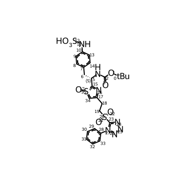 CC(C)(C)OC(=O)N[C@@H](Cc1ccc(NS(=O)(=O)O)cc1)c1nc(CCS(=O)(=O)c2nnnn2-c2ccccc2)c[s+]1[O-]